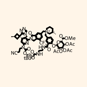 COC(=O)[C@H]1O[C@@H](Oc2ccc(C[N+]3(Cc4cc5c(c(C(F)(F)F)c4)CN(c4cc([C@]6(c7nncn7C)C[C@@H](C)C6)cc(N(CCC#N)C(=O)OC(C)(C)C)n4)C5=O)CCC[C@H](C)C3)cc2C(=O)NCCNC(=O)OC(C)(C)C)[C@H](OC(C)=O)[C@@H](OC(C)=O)[C@@H]1OC(C)=O